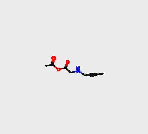 CC#CCNCC(=O)OC(C)=O